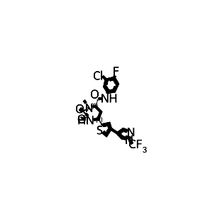 CN1[C@H](C(=O)Nc2ccc(F)c(Cl)c2)C[C@H](c2cc(-c3cnn(C(F)(F)F)c3)cs2)NS1(=O)=O